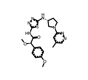 COc1ccc([C@@H](OC)C(=O)Nc2nnc(N[C@@H]3CCN(c4cc(C)cnn4)C3)s2)cc1